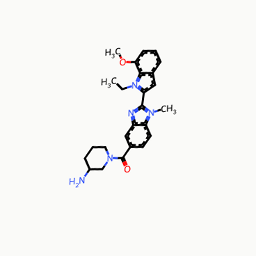 CCn1c(-c2nc3cc(C(=O)N4CCCC(N)C4)ccc3n2C)cc2cccc(OC)c21